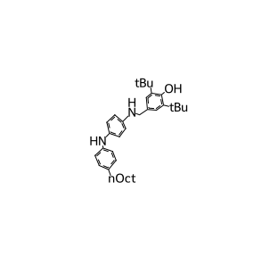 CCCCCCCCc1ccc(Nc2ccc(NCc3cc(C(C)(C)C)c(O)c(C(C)(C)C)c3)cc2)cc1